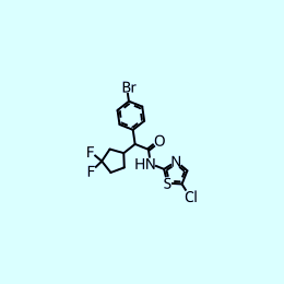 O=C(Nc1ncc(Cl)s1)C(c1ccc(Br)cc1)C1CCC(F)(F)C1